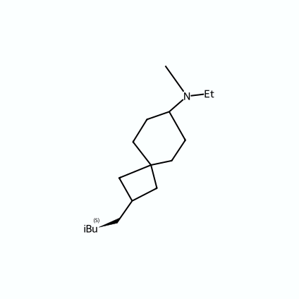 CC[C@H](C)CC1CC2(CCC(N(C)CC)CC2)C1